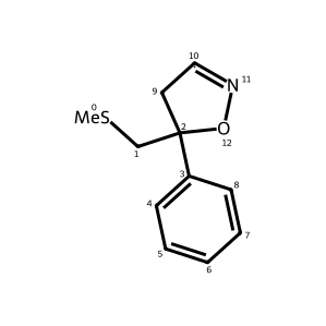 CSCC1(c2ccccc2)C[C]=NO1